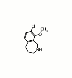 COc1c(Cl)ccc2c1CNCCC2